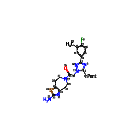 CCCCCc1nc(-c2ccc(F)c(C)c2)nn1CC(=O)N1CCc2nc(N)sc2CC1